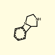 c1ccc2c(c1)[C]1CNCCN12